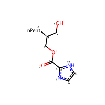 CCCCC[C@@H](CO)COC(=O)c1ncc[nH]1